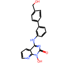 O=c1nc(Nc2cccc(-c3ccc(CO)cc3)c2)c2cccnc2n1O